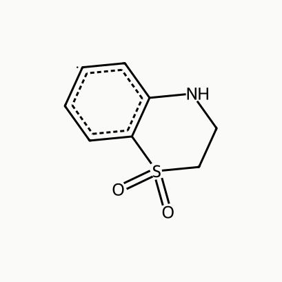 O=S1(=O)CCNc2c[c]ccc21